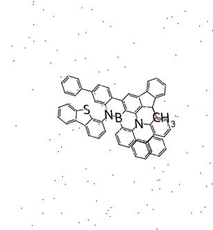 CC12c3ccccc3-c3cc4c5c(c31)N(c1c(cccc1-c1ccccc1)B5N(c1cccc3c1sc1ccccc13)c1cc(-c3ccccc3)ccc1-4)c1c(-c3ccccc3)cccc12